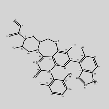 C=CC(=O)N1CC2COc3c(F)c(-c4c(C)ccc5[nH]ncc45)cc4c3c(nc(=O)n4-c3c(C)ccnc3C(C)C)N2CC1C